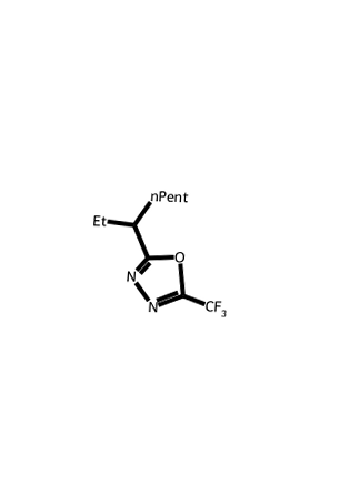 CCCCCC(CC)c1nnc(C(F)(F)F)o1